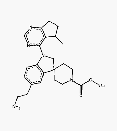 CC1CCc2ncnc(N3CC4(CCN(C(=O)OC(C)(C)C)CC4)c4cc(CCN)ccc43)c21